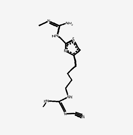 C/N=C(/N)Nc1nc(CCCCN/C(=N\C#N)NC)cs1